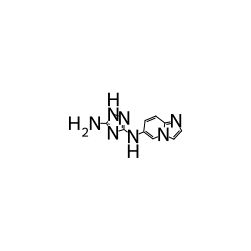 Nc1nc(Nc2ccc3nccn3c2)n[nH]1